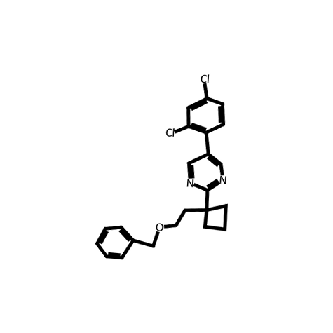 Clc1ccc(-c2cnc(C3(CCOCc4ccccc4)CCC3)nc2)c(Cl)c1